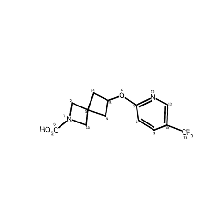 O=C(O)N1CC2(CC(Oc3ccc(C(F)(F)F)cn3)C2)C1